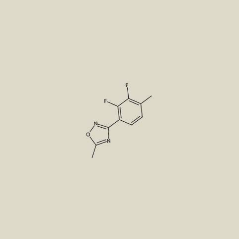 Cc1nc(-c2ccc(C)c(F)c2F)no1